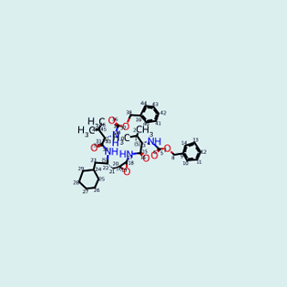 CC(C)[C@H](NC(=O)OCc1ccccc1)C(=O)NC1O[C@H]1C[C@H](CC1CCCCC1)NC(=O)[C@@H](NC(=O)OCc1ccccc1)C(C)C